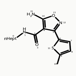 CCCCCCCNC(=O)c1c(-c2ccc(C)s2)noc1N